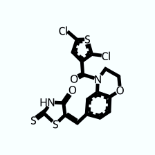 O=C1NC(=S)SC1=Cc1ccc2c(c1)N(C(=O)c1cc(Cl)sc1Cl)CCO2